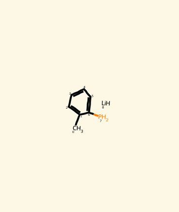 Cc1ccccc1P.[LiH]